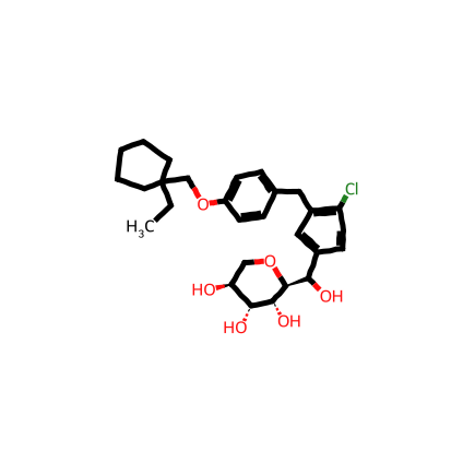 CCC1(COc2ccc(Cc3cc(C(O)[C@@H]4OC[C@H](O)[C@@H](O)[C@H]4O)ccc3Cl)cc2)CCCCC1